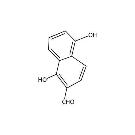 O=Cc1ccc2c(O)cccc2c1O